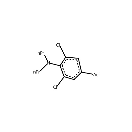 CCCN(CCC)c1c(Cl)cc(C(C)=O)cc1Cl